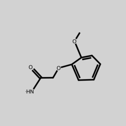 COc1ccccc1OCC([NH])=O